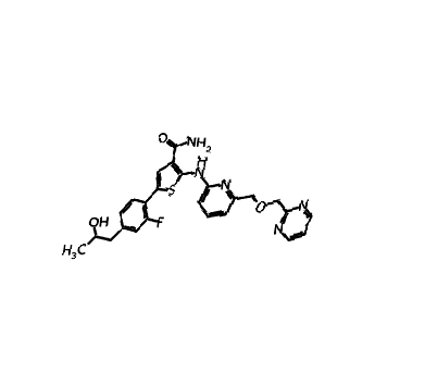 CC(O)Cc1ccc(-c2cc(C(N)=O)c(Nc3cccc(COCc4ncccn4)n3)s2)c(F)c1